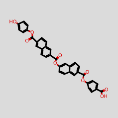 O=C(O)c1ccc(OC(=O)c2ccc3cc(OC(=O)c4ccc5cc(C(=O)Oc6ccc(O)cc6)ccc5c4)ccc3c2)cc1